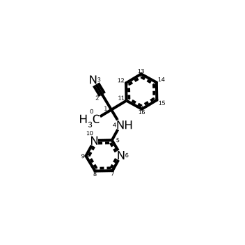 CC(C#N)(Nc1ncccn1)c1ccccc1